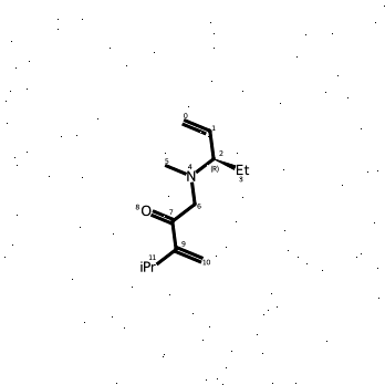 C=C[C@@H](CC)N(C)CC(=O)C(=C)C(C)C